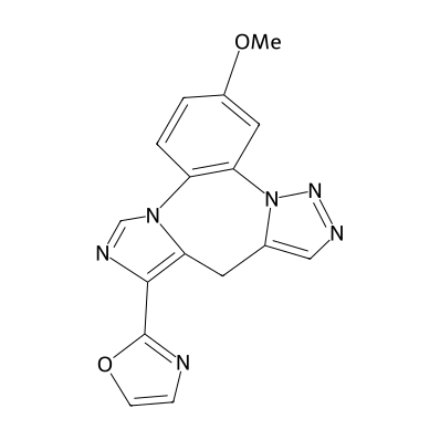 COc1ccc2c(c1)-n1nncc1Cc1c(-c3ncco3)ncn1-2